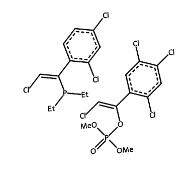 CCP(CC)C(=CCl)c1ccc(Cl)cc1Cl.COP(=O)(OC)OC(=CCl)c1cc(Cl)c(Cl)cc1Cl